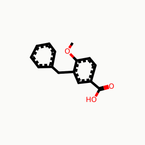 COc1ccc(C(=O)O)cc1Cc1ccccc1